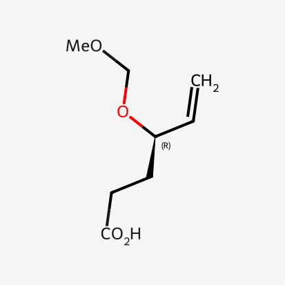 C=C[C@@H](CCC(=O)O)OCOC